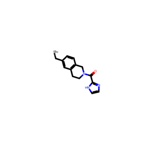 CC(C)(C)Cc1ccc2c(c1)CCN(C(=O)c1ncc[nH]1)C2